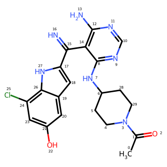 CC(=O)N1CCC(Nc2ncnc(N)c2C(=N)c2cc3cc(O)cc(Cl)c3[nH]2)CC1